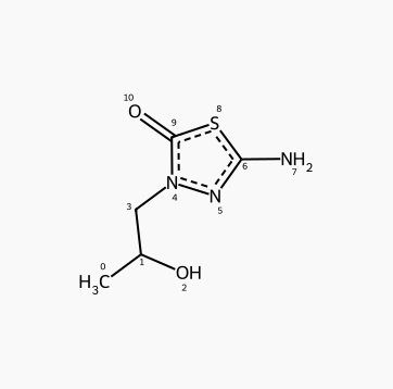 CC(O)Cn1nc(N)sc1=O